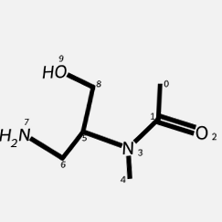 CC(=O)N(C)C(CN)CO